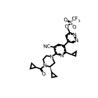 N#Cc1cc(-c2cnnc(OS(=O)(=O)C(F)(F)F)c2)c(C2CC2)nc1N1CCN(C(=O)C2CC2)[C@H](C2CC2)C1